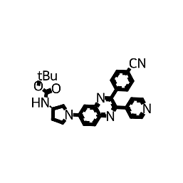 CC(C)(C)OC(=O)N[C@H]1CCN(c2ccc3nc(-c4ccncc4)c(-c4ccc(C#N)cc4)nc3c2)C1